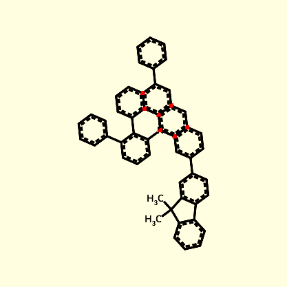 CC1(C)c2ccccc2-c2ccc(-c3cccc(N(c4ccc(-c5ccccc5)cc4)c4cccc(-c5ccccc5)c4-c4ccccc4-c4ccccc4)c3)cc21